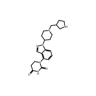 O=C1CCN(c2cccc3c2cnn3C2CCN(CC3CCNC3)CC2)C(=O)N1